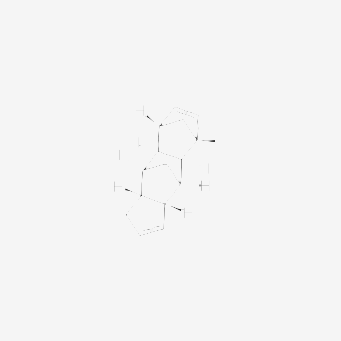 C1=C[C@H]2[C@H]3C[C@@H]([C@H]2C1)[C@@H]1[C@H]3[C@H]2C=C[C@@H]1C2